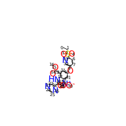 CCS(=O)(=O)c1ccc(Oc2cc(C(=O)OC)c(NC(=O)c3cnccn3)c([N+](=O)[O-])c2)cn1